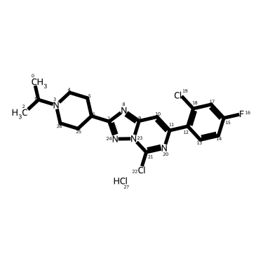 CC(C)N1CCC(c2nc3cc(-c4ccc(F)cc4Cl)nc(Cl)n3n2)CC1.Cl